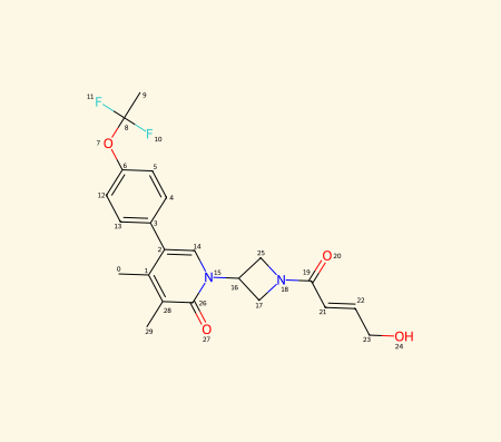 Cc1c(-c2ccc(OC(C)(F)F)cc2)cn(C2CN(C(=O)/C=C/CO)C2)c(=O)c1C